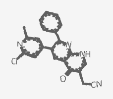 Cc1cc(-c2cc3c(=O)c(CC#N)c[nH]c3nc2-c2ccccc2)cc(Cl)n1